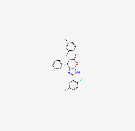 Cc1cccc(C[C@@H]2C(=O)Oc3[nH]c(-c4cc(F)ccc4F)nc3[C@@H]2c2ccccc2)c1